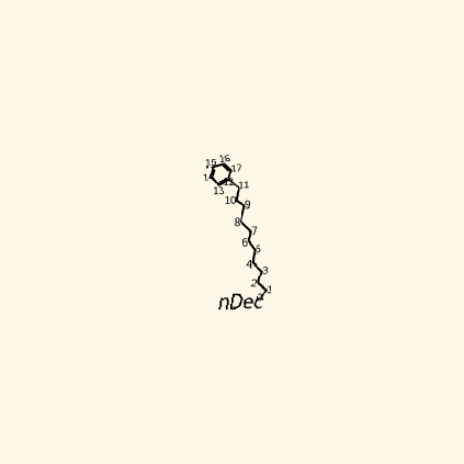 CCCCCCCCCCCCCCCCCCCCCc1cc[c]cc1